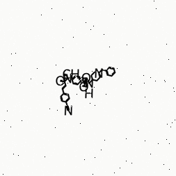 CN(C(=O)/C=C/c1ccc(C#N)cc1)c1ccc(S(=O)(=O)NC2CCN(Cc3ccccc3)CC2)cc1